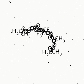 C=C(C)C(=O)OCOc1ccc(CC(=O)Oc2ccc(C(c3ccc(OC(=O)Cc4ccc(OCOC(=O)C(=C)C)cc4C)cc3)(C(F)(F)F)C(F)(F)F)cc2)c(C)c1